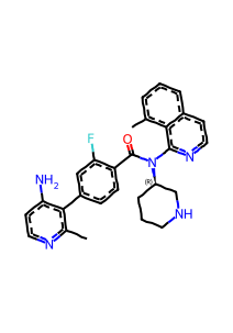 Cc1nccc(N)c1-c1ccc(C(=O)N(c2nccc3cccc(C)c23)[C@@H]2CCCNC2)c(F)c1